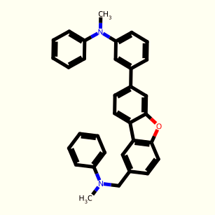 CN(Cc1ccc2oc3cc(-c4cccc(N(C)c5ccccc5)c4)ccc3c2c1)c1ccccc1